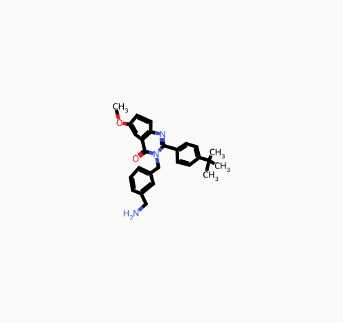 COc1ccc2nc(-c3ccc(C(C)(C)C)cc3)n(Cc3cccc(CN)c3)c(=O)c2c1